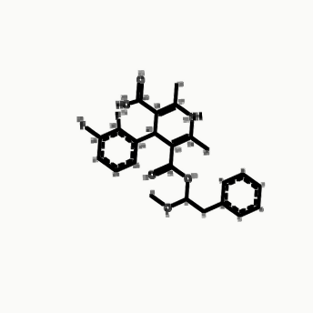 COC(Cc1ccccc1)OC(=O)C1=C(C)NC(C)=C(C(=O)O)C1c1cccc(F)c1F